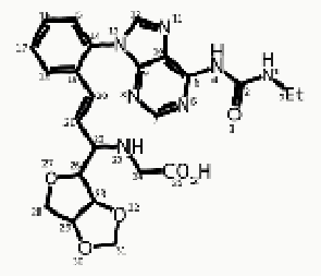 CCNC(=O)Nc1ncnc2c1ncn2-c1ccccc1C=CC(NCC(=O)O)C1OCC2OCOC21